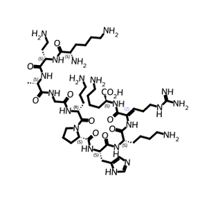 C[C@H](NC(=O)[C@H](CCN)NC(=O)[C@@H](N)CCCCN)C(=O)NCC(=O)N[C@H](CCCN)C(=O)N1CCC[C@H]1C(=O)N[C@@H](Cc1cnc[nH]1)C(=O)N[C@@H](CCCCN)C(=O)N/C(=C\CCNC(=N)N)C(=O)N[C@@H](CCCCN)C(=O)O